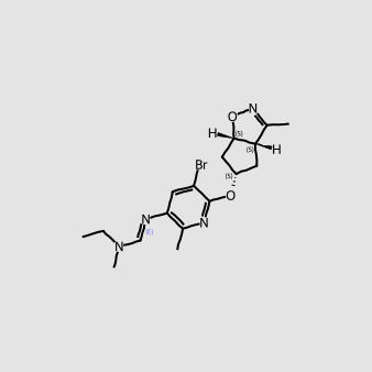 CCN(C)/C=N/c1cc(Br)c(O[C@@H]2C[C@@H]3ON=C(C)[C@@H]3C2)nc1C